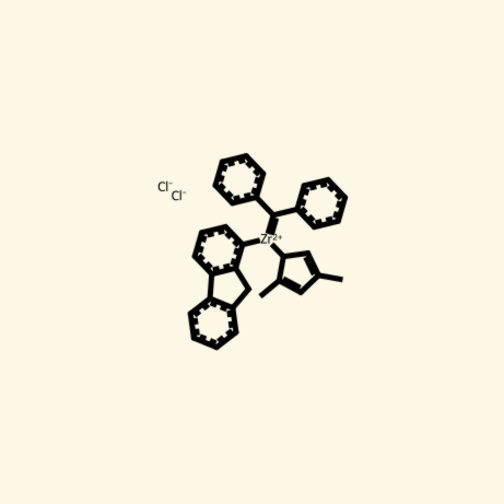 CC1=C[CH]([Zr+2](=[C](c2ccccc2)c2ccccc2)[c]2cccc3c2Cc2ccccc2-3)C(C)=C1.[Cl-].[Cl-]